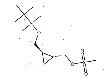 CC(C)(C)[Si](C)(C)OC[C@@H]1C[C@H]1COS(C)(=O)=O